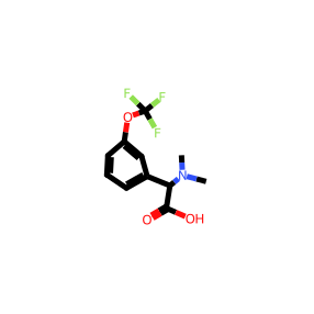 CN(C)C(C(=O)O)c1cccc(OC(F)(F)F)c1